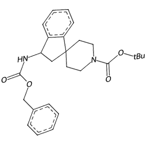 CC(C)(C)OC(=O)N1CCC2(CC1)CC(NC(=O)OCc1ccccc1)c1ccccc12